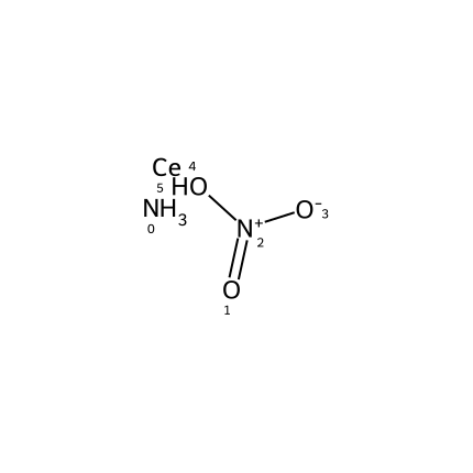 N.O=[N+]([O-])O.[Ce]